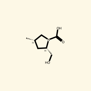 C[C@H]1C[C@@H](CO)N(C(=O)O)C1